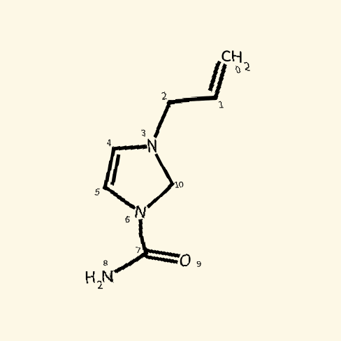 C=CCN1C=CN(C(N)=O)C1